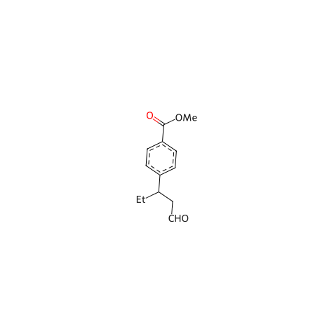 CCC(CC=O)c1ccc(C(=O)OC)cc1